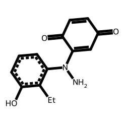 CCc1c(O)cccc1N(N)C1=CC(=O)C=CC1=O